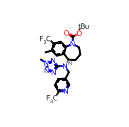 Cc1cc2c(cc1C(F)(F)F)N(C(=O)OC(C)(C)C)CCC[C@@H]2N(Cc1ccc(C(F)(F)F)nc1)c1nnn(C)n1